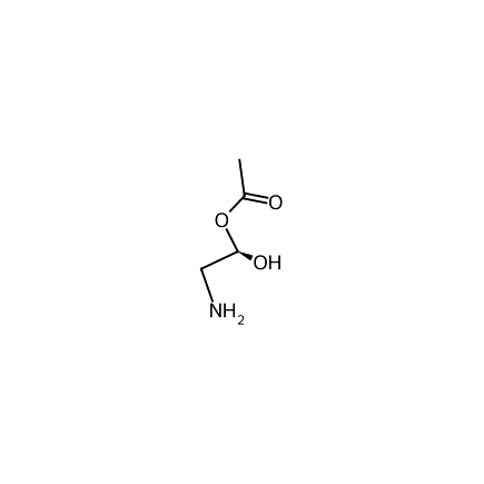 CC(=O)O[C@@H](O)CN